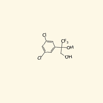 OCC(O)(c1cc(Cl)cc(Cl)c1)C(F)(F)F